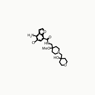 COC1(CNC(=O)c2cc(Cl)c(N)c3ccoc23)CCN(CC2(O)CCOCC2)CC1